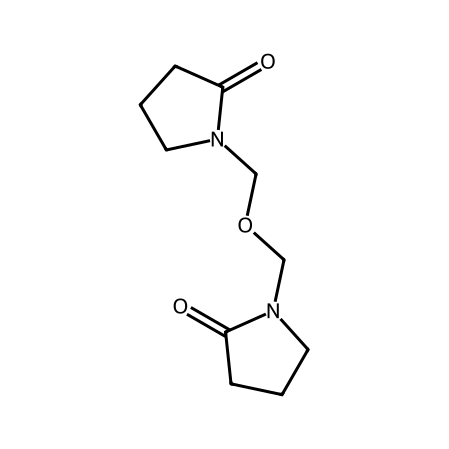 O=C1CCCN1COCN1CCCC1=O